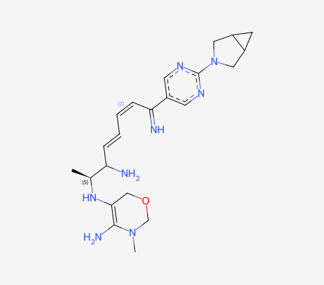 C[C@H](NC1=C(N)N(C)COC1)C(N)C=C/C=C\C(=N)c1cnc(N2CC3CC3C2)nc1